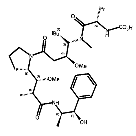 CC[C@H](C)[C@@H]([C@H](CC(=O)N1CCC[C@H]1[C@H](OC)[C@@H](C)C(=O)N[C@H](C)[C@H](O)c1ccccc1)OC)N(C)C(=O)[C@@H](NC(=O)O)C(C)C